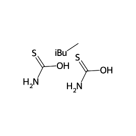 CCC(C)C.NC(O)=S.NC(O)=S